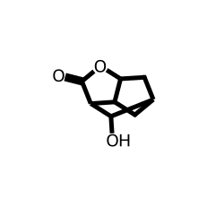 O=C1OC2CC3CC2C1C3O